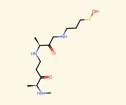 CN[C@@H](C)C(=O)CCN[C@@H](C)C(=O)CNCCCSO